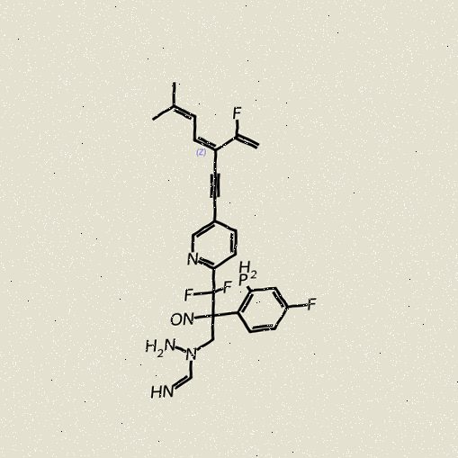 C=C(F)/C(C#Cc1ccc(C(F)(F)C(CN(N)C=N)(N=O)c2ccc(F)cc2P)nc1)=C\C=C(C)C